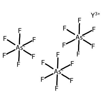 F[As-](F)(F)(F)(F)F.F[As-](F)(F)(F)(F)F.F[As-](F)(F)(F)(F)F.[Y+3]